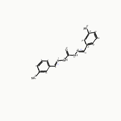 N#Cc1cccc(/C=N/NC(=O)N/N=C/c2cccc(C#N)c2)c1